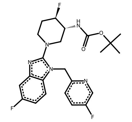 CC(C)(C)OC(=O)N[C@@H]1CN(c2nc3cc(F)ccc3n2Cc2ccc(F)cn2)CC[C@H]1F